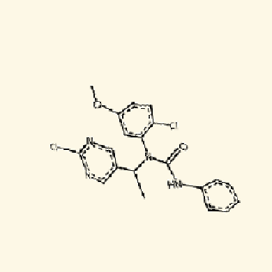 COc1ccc(Cl)c(N(C(=O)Nc2ccccc2)C(C)c2cnc(Cl)nc2)c1